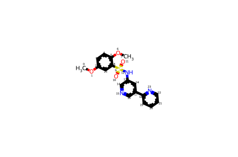 COc1ccc(OC)c(S(=O)(=O)Nc2cncc(-c3ccccn3)c2)c1